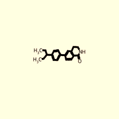 CCC(CC)c1ccc(-c2ccc3c(c2)CCNC3=O)cc1